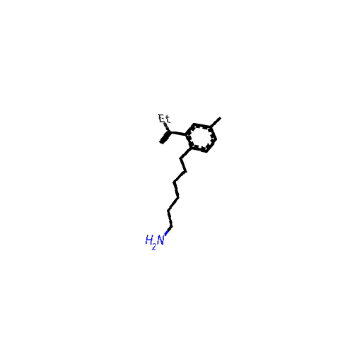 C=C(CC)c1cc(C)ccc1CCCCCCN